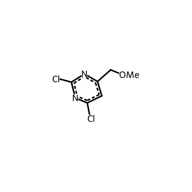 COCc1cc(Cl)nc(Cl)n1